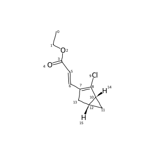 CCOC(=O)/C=C/C1=C(Cl)[C@@H]2C[C@@H]2C1